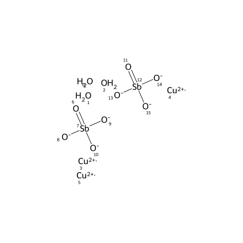 O.O.O.[Cu+2].[Cu+2].[Cu+2].[O]=[Sb]([O-])([O-])[O-].[O]=[Sb]([O-])([O-])[O-]